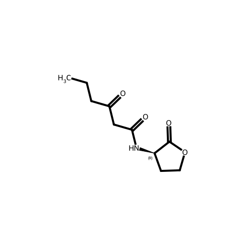 CCCC(=O)CC(=O)N[C@@H]1CCOC1=O